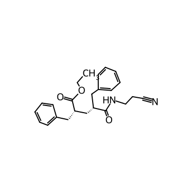 CCOC(=O)[C@@H](Cc1ccccc1)C[C@H](Cc1ccccc1)C(=O)NCCC#N